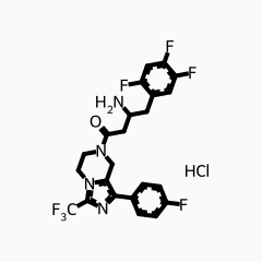 Cl.NC(CC(=O)N1CCn2c(C(F)(F)F)nc(-c3ccc(F)cc3)c2C1)Cc1cc(F)c(F)cc1F